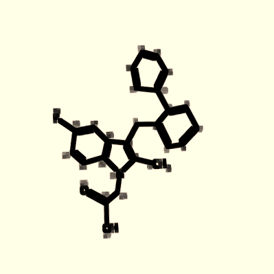 Cc1c(Cc2ccccc2-c2ccccc2)c2cc(F)ccc2n1CC(=O)O